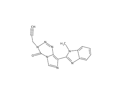 C#CCn1nnc2c(-c3nc4ccccc4n3C)ncn2c1=O